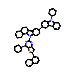 c1ccc(-c2nc(-n3c4ccc(-c5ccc6c(c5)c5ccccc5n6-c5ccccc5)cc4c4ccc5ccccc5c43)nc3cc(-c4cccc5ccccc45)sc23)cc1